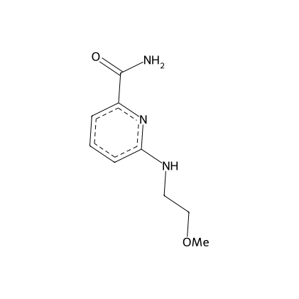 COCCNc1cccc(C(N)=O)n1